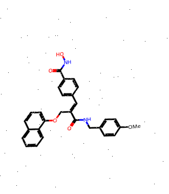 COc1ccc(CNC(=O)/C(=C/c2ccc(C(=O)NO)cc2)COc2cccc3ccccc23)cc1